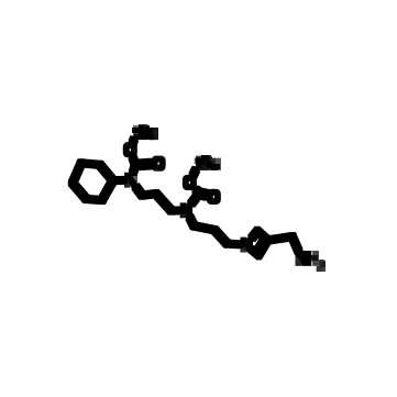 CC(C)(C)OC(=O)N(CCCN1C=C(CN)C1)CCCN(C(=O)OC(C)(C)C)C1CCCCC1